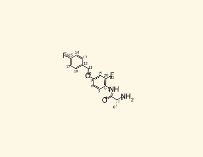 C[C@@H](N)C(=O)Nc1ccc(OCc2ccc(F)cc2)cc1F